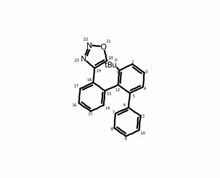 CC(C)(C)c1cccc(-c2ccccc2)c1-c1ccccc1-c1conn1